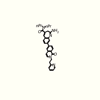 CCCN(CCC)C(=O)C1=Cc2ccc(-c3ccc4c(=O)n(CCc5ccccn5)ccc4c3)cc2N=C(N)C1